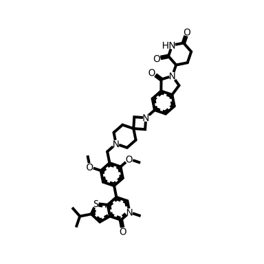 COc1cc(-c2cn(C)c(=O)c3cc(C(C)C)sc23)cc(OC)c1CN1CCC2(CC1)CN(c1ccc3c(c1)C(=O)N(C1CCC(=O)NC1=O)C3)C2